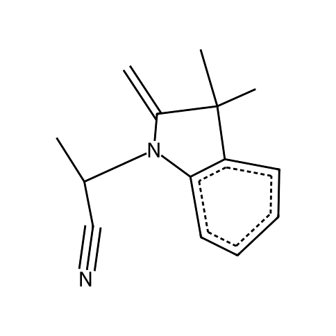 C=C1N(C(C)C#N)c2ccccc2C1(C)C